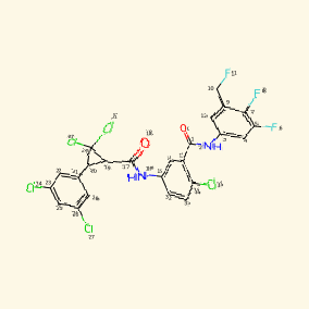 O=C(Nc1cc(F)c(F)c(CF)c1)c1cc(NC(=O)C2C(c3cc(Cl)cc(Cl)c3)C2(Cl)Cl)ccc1Cl